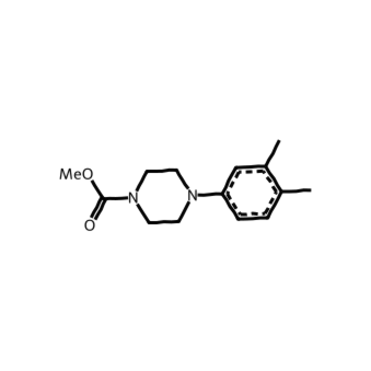 COC(=O)N1CCN(c2ccc(C)c(C)c2)CC1